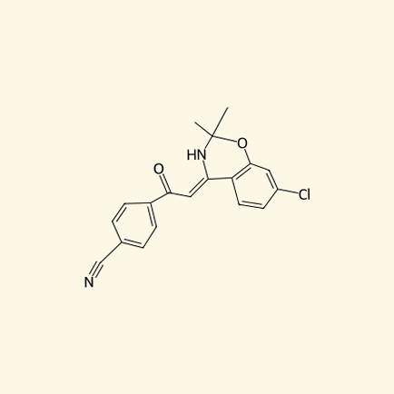 CC1(C)N/C(=C\C(=O)c2ccc(C#N)cc2)c2ccc(Cl)cc2O1